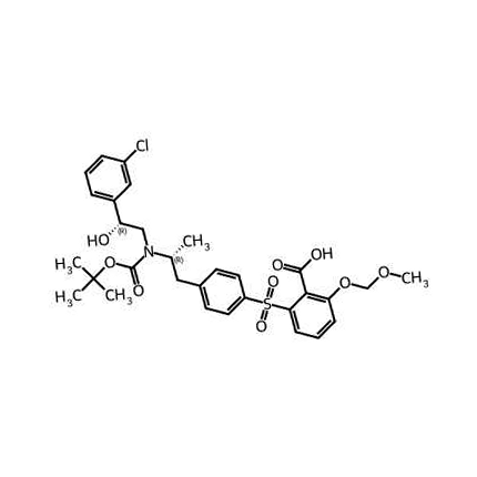 COCOc1cccc(S(=O)(=O)c2ccc(C[C@@H](C)N(C[C@H](O)c3cccc(Cl)c3)C(=O)OC(C)(C)C)cc2)c1C(=O)O